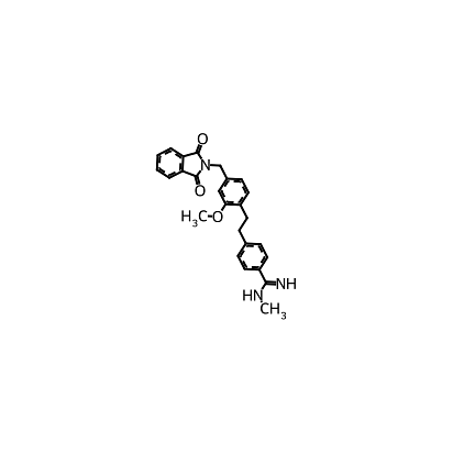 CNC(=N)c1ccc(CCc2ccc(CN3C(=O)c4ccccc4C3=O)cc2OC)cc1